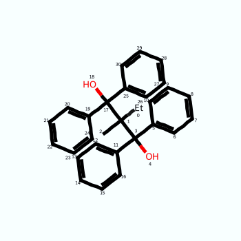 [CH2]CC(C)(C(O)(c1ccccc1)c1ccccc1)C(O)(c1ccccc1)c1ccccc1